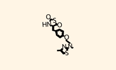 Cc1csc(N(C)CCOc2ccc(C=C3NC(=O)SC3=O)cc2)n1